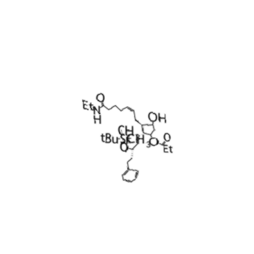 CCNC(=O)CCC/C=C\C[C@@H]1[C@@H](/C=C/[C@H](CCc2ccccc2)O[Si](C)(C)C(C)(C)C)[C@H](OC(=O)CC)C[C@@H]1O